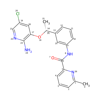 Cc1cccc(C(=O)Nc2cccc([C@@H](C)Oc3cc(Cl)cnc3N)c2)n1